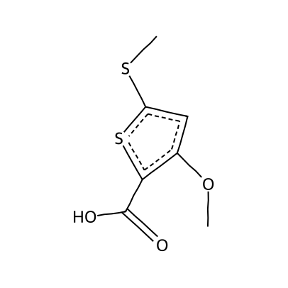 COc1cc(SC)sc1C(=O)O